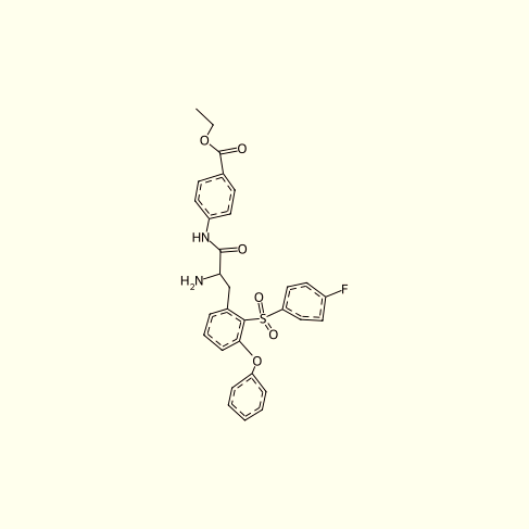 CCOC(=O)c1ccc(NC(=O)C(N)Cc2cccc(Oc3ccccc3)c2S(=O)(=O)c2ccc(F)cc2)cc1